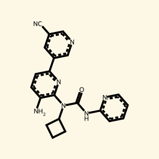 N#Cc1cncc(-c2ccc(N)c(N(C(=O)Nc3ccccn3)C3CCC3)n2)c1